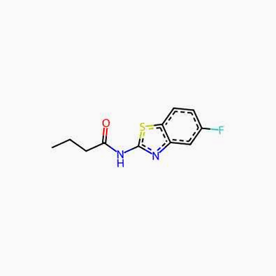 CCCC(=O)Nc1nc2cc(F)ccc2s1